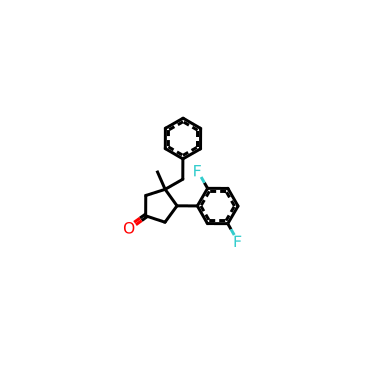 CC1(Cc2ccccc2)CC(=O)CC1c1cc(F)ccc1F